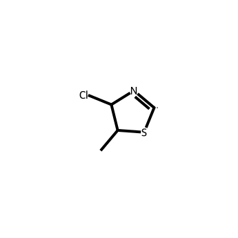 CC1S[C]=NC1Cl